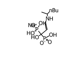 CCCCC(C)NC=CC(O)(P(=O)([O-])O)P(=O)(O)O.[Na+]